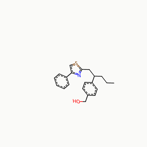 CCCC(Cc1nc(-c2ccccc2)cs1)c1ccc(CO)cc1